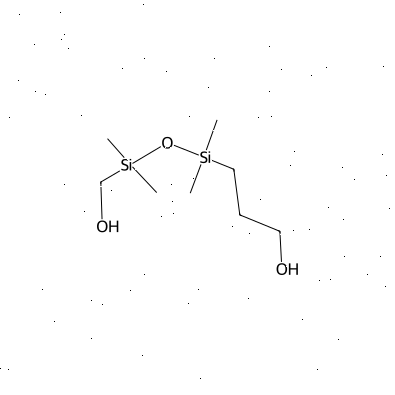 C[Si](C)(CO)O[Si](C)(C)CCCO